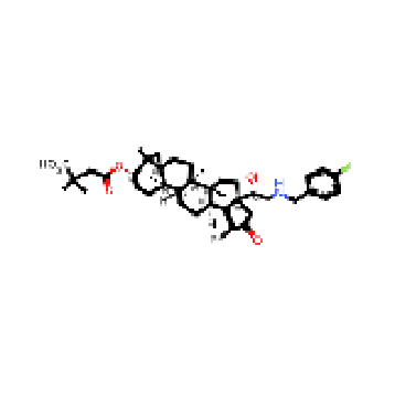 CC(C)C1=C2[C@H]3CC[C@@H]4[C@@]5(C)CC[C@H](OC(=O)CC(C)(C)C(=O)O)C6(C)C[C@]65CC[C@@]4(C)[C@]3(C)CC[C@@]2([C@H](O)CNCc2ccc(F)cc2)CC1=O